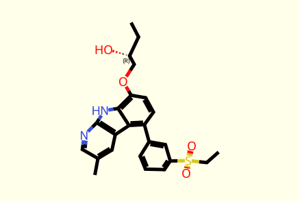 CC[C@@H](O)COc1ccc(-c2cccc(S(=O)(=O)CC)c2)c2c1[nH]c1ncc(C)cc12